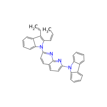 C=Cc1c(/C=C\C)n(-c2ccc3ccc(-n4c5ccccc5c5ccccc54)nc3n2)c2ccccc12